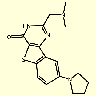 CN(C)Cc1nc2c(sc3ccc(N4CCCC4)cc32)c(=O)[nH]1